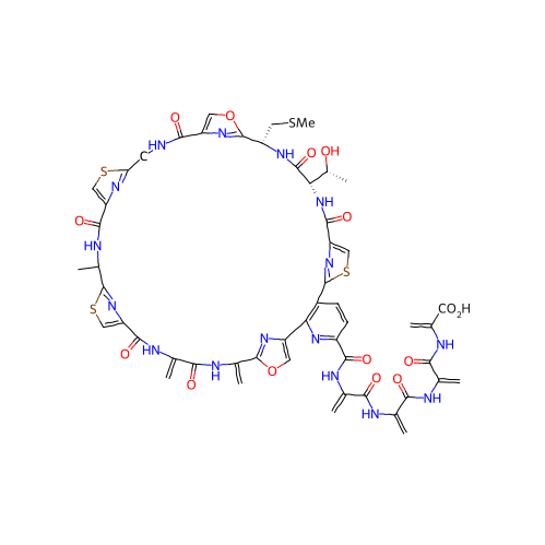 C=C(NC(=O)C(=C)NC(=O)C(=C)NC(=O)C(=C)NC(=O)c1ccc2c(n1)-c1coc(n1)C(=C)NC(=O)C(=C)NC(=O)c1csc(n1)C(C)NC(=O)c1csc(n1)CNC(=O)c1coc(n1)[C@H](CSC)NC(=O)[C@H]([C@@H](C)O)NC(=O)c1csc-2n1)C(=O)O